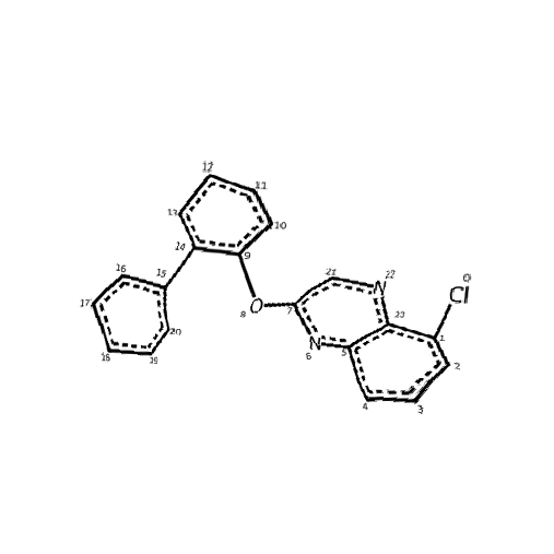 Clc1cccc2nc(Oc3[c]cccc3-c3ccccc3)cnc12